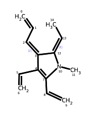 C=C/C=c1/c(C=C)c(C=C)n(C)/c1=C/C